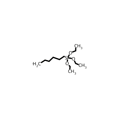 [CH2]CCCCC[Si](OCC)(OCC)OCC